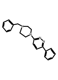 c1ccc(CN2CCN(c3ccc(-c4ccccc4)nn3)CC2)cc1